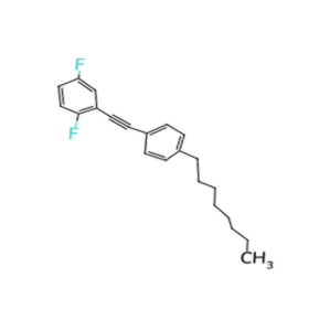 CCCCCCCCc1ccc(C#Cc2cc(F)ccc2F)cc1